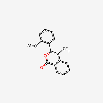 COc1ccccc1-c1oc(=O)c2ccccc2c1C(F)(F)F